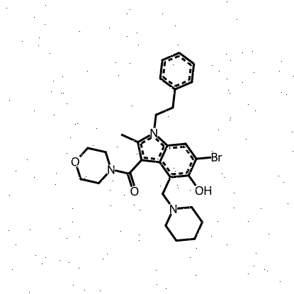 Cc1c(C(=O)N2CCOCC2)c2c(CN3CCCCC3)c(O)c(Br)cc2n1CCc1ccccc1